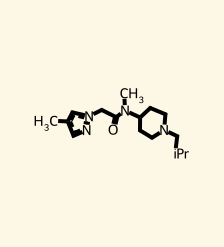 Cc1cnn(CC(=O)N(C)C2CCN(CC(C)C)CC2)c1